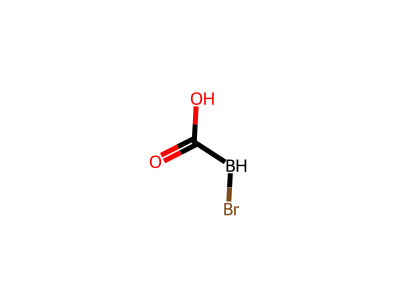 O=C(O)BBr